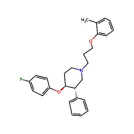 Cc1ccccc1OCCCN1CC[C@H](Oc2ccc(F)cc2)[C@@H](c2ccccc2)C1